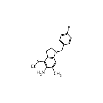 CCSc1c(N)c(C)cc2c1CCN2Cc1ccc(F)cc1